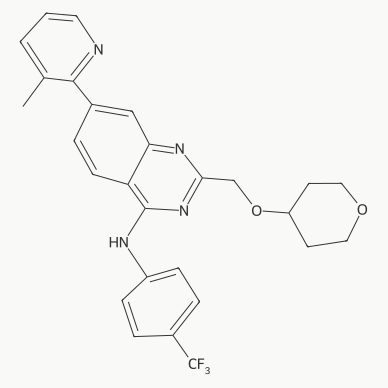 Cc1cccnc1-c1ccc2c(Nc3ccc(C(F)(F)F)cc3)nc(COC3CCOCC3)nc2c1